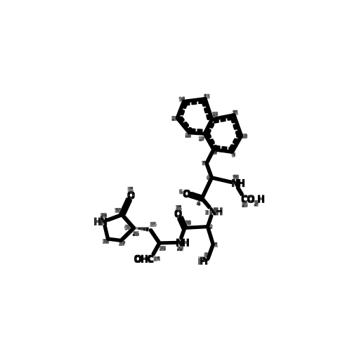 CC(C)CC(NC(=O)C(Cc1cccc2ccccc12)NC(=O)O)C(=O)NC(C=O)C[C@@H]1CCNC1=O